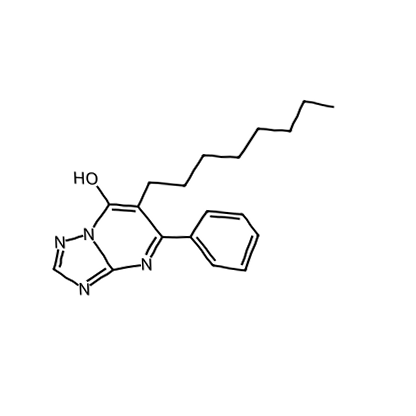 CCCCCCCCc1c(-c2ccccc2)nc2ncnn2c1O